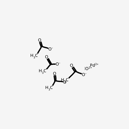 CC(=O)[O-].CC(=O)[O-].CC(=O)[O-].CC(=O)[O-].[O+2].[Pd+2]